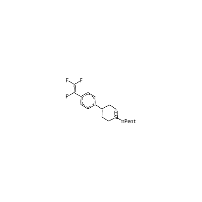 CCCCC[SiH]1CCC(c2ccc(C(F)=C(F)F)cc2)CC1